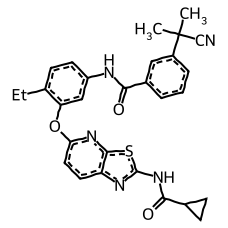 CCc1ccc(NC(=O)c2cccc(C(C)(C)C#N)c2)cc1Oc1ccc2nc(NC(=O)C3CC3)sc2n1